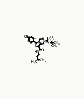 CC(C)CCNC(=O)c1nc(-c2ccc(Cl)cc2)n2c1CN(C(=O)OC(C)(C)C)CC2